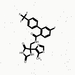 Cc1scnc1C1(CNC(=O)c2ccc(F)cc2-c2ccc(C(F)(F)F)cc2)NC(=O)NC1=O